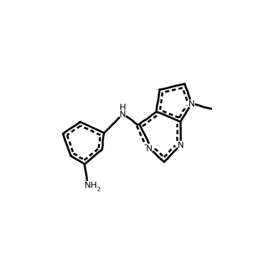 Cn1c[c]c2c(Nc3cccc(N)c3)ncnc21